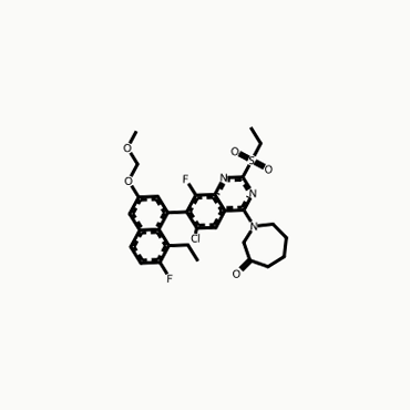 CCc1c(F)ccc2cc(OCOC)cc(-c3c(Cl)cc4c(N5CCCCC(=O)C5)nc(S(=O)(=O)CC)nc4c3F)c12